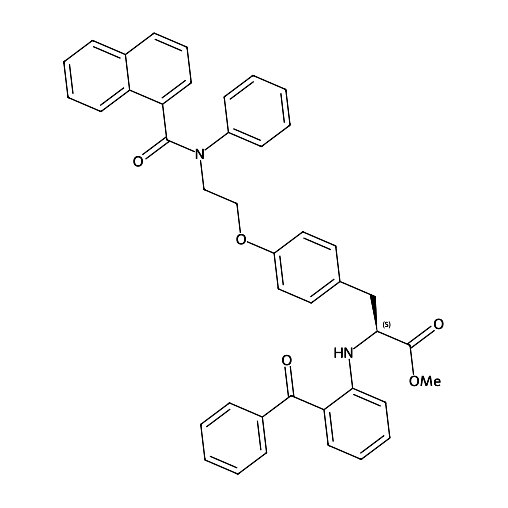 COC(=O)[C@H](Cc1ccc(OCCN(C(=O)c2cccc3ccccc23)c2ccccc2)cc1)Nc1ccccc1C(=O)c1ccccc1